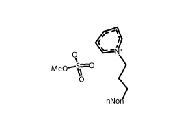 CCCCCCCCCCCC[n+]1ccccc1.COS(=O)(=O)[O-]